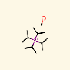 CC(C)[P+](C(C)C)(C(C)C)C(C)C.C[O-]